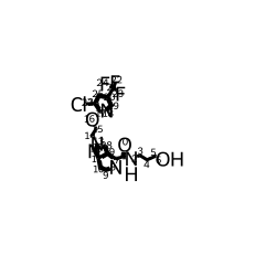 O=C(NCCCO)c1nccc2nn(CCOc3ncc(C(F)(F)F)cc3Cl)cc12